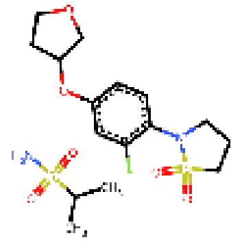 CC(C)S(N)(=O)=O.O=S1(=O)CCCN1c1ccc(OC2CCOC2)cc1F